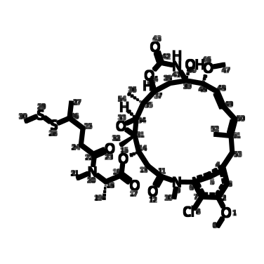 COc1cc2cc(c1Cl)N(C)C(=O)C[C@H](OC(=O)[C@H](C)N(C)C(=O)CCC(C)SSC)[C@]1(C)O[C@H]1[C@H](C)[C@@H]1C[C@@](O)(NC(=O)O1)[C@H](OC)/C=C/C=C(\C)C2